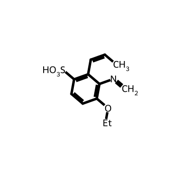 C=Nc1c(OCC)ccc(S(=O)(=O)O)c1/C=C\C